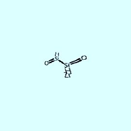 O=[SiH][SiH]=O.[Zr]